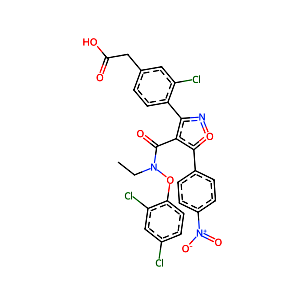 CCN(Oc1ccc(Cl)cc1Cl)C(=O)c1c(-c2ccc(CC(=O)O)cc2Cl)noc1-c1ccc([N+](=O)[O-])cc1